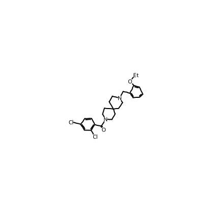 CCOc1ccccc1CN1CCC2(CC1)CCN(C(=O)c1ccc(Cl)cc1Cl)CC2